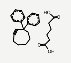 C1#CC(c2ccccc2)(c2ccccc2)CCCCC1.O=C(O)CCCCC(=O)O